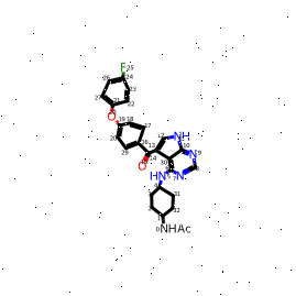 CC(=O)NC1CCC(Nc2ncnc3[nH]cc(C(=O)c4ccc(Oc5ccc(F)cc5)cc4)c23)CC1